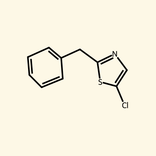 Clc1cnc(Cc2ccccc2)s1